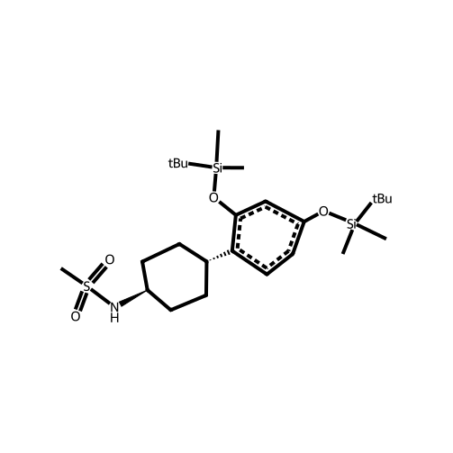 CC(C)(C)[Si](C)(C)Oc1ccc([C@H]2CC[C@H](NS(C)(=O)=O)CC2)c(O[Si](C)(C)C(C)(C)C)c1